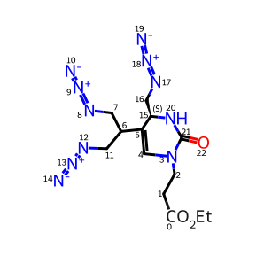 CCOC(=O)CCN1C=C(C(CN=[N+]=[N-])CN=[N+]=[N-])[C@@H](CN=[N+]=[N-])NC1=O